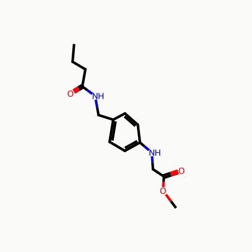 CCCC(=O)NCc1ccc(NCC(=O)OC)cc1